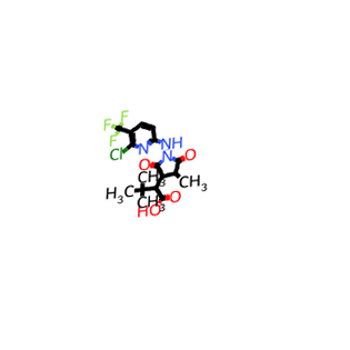 CC1C(=O)N(Nc2ccc(C(F)(F)F)c(Cl)n2)C(=O)C1C(C(=O)O)C(C)(C)C